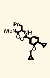 CNC(=O)C(CC(C)C)NC(=O)c1ccc(C2CC2)c(OCC2CC2)c1